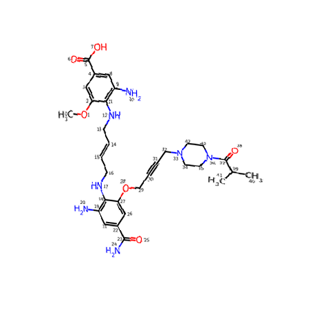 COc1cc(C(=O)O)cc(N)c1NC/C=C/CNc1c(N)cc(C(N)=O)cc1OCC#CCN1CCN(C(=O)C(C)C)CC1